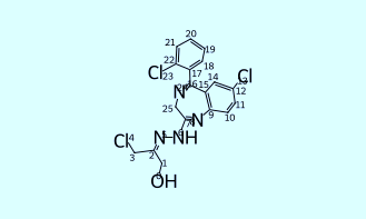 OC/C(CCl)=N\NC1=Nc2ccc(Cl)cc2C(c2ccccc2Cl)=NC1